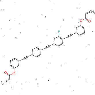 C=CC(=O)Oc1cccc(C#Cc2ccc(C#Cc3ccc(C#Cc4cccc(OC(=O)C=C)c4)c(F)c3)cc2)c1